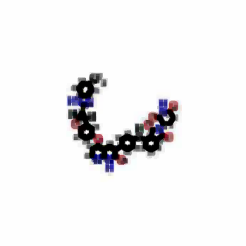 O=C1CCC(N2C(=O)c3cccc(Bc4ccc(-c5cc6c(Oc7ccc8c(c7)[C@@H]7[C@H](O8)[C@H]7c7nc8cc(C(F)(F)F)ccc8[nH]7)ccnc6[nH]c5=O)cc4)c3C2=O)C(=O)N1